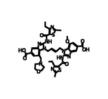 CCc1nc(C)sc1C(=O)Nc1nc2cc(C(=O)O)cc(CN3CCOCC3)c2n1CC=CCn1c(NC(=O)c2sc(C)nc2CC)nc2cc(C(=O)O)cc(OC)c21